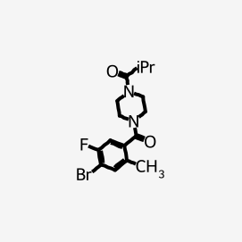 Cc1cc(Br)c(F)cc1C(=O)N1CCN(C(=O)C(C)C)CC1